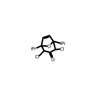 CC(C)C12C=CC(C(C)C)(O1)C(Cl)C(=O)C2Cl